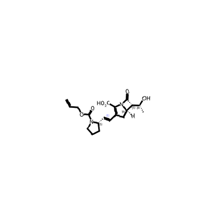 C=CCOC(=O)N1CCC[C@H]1/C=C/C1=C(C(=O)O)N2C(=O)[C@H]([C@@H](C)O)[C@H]2C1